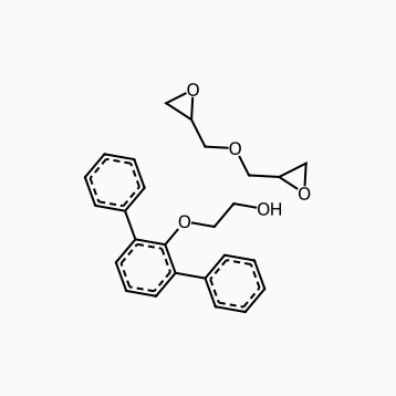 C(OCC1CO1)C1CO1.OCCOc1c(-c2ccccc2)cccc1-c1ccccc1